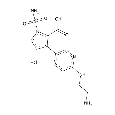 Cl.NCCNc1ccc(-c2ccn(S(N)(=O)=O)c2C(=O)O)cn1